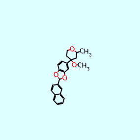 COC1(c2ccc3c(c2)OC(c2ccc4ccccc4c2)O3)CCOC(C)C1